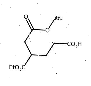 CCOC(=O)C(CCC(=O)O)CC(=O)OC(C)CC